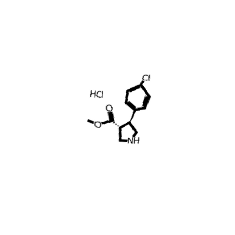 COC(=O)[C@H]1CNC[C@@H]1c1ccc(Cl)cc1.Cl